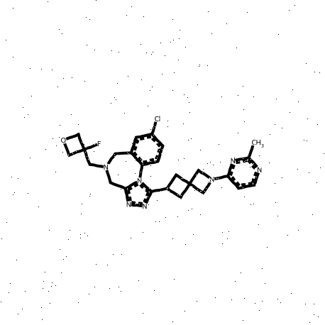 Cc1nccc(N2CC3(CC(c4nnc5n4-c4ccc(Cl)cc4CN(CC4(F)COC4)C5)C3)C2)n1